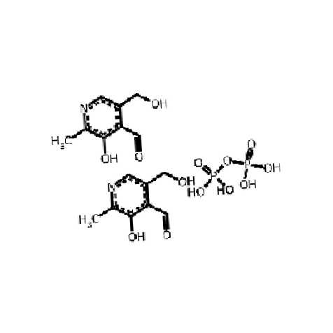 Cc1ncc(CO)c(C=O)c1O.Cc1ncc(CO)c(C=O)c1O.O=P(O)(O)OP(=O)(O)O